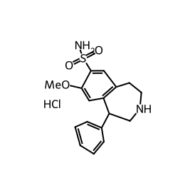 COc1cc2c(cc1S(N)(=O)=O)CCNCC2c1ccccc1.Cl